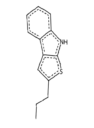 CCCc1cc2c([nH]c3ccccc32)s1